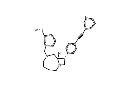 COc1cccc(CN2CCCCN3C[C@@H](c4ccc(C#Cc5cccnc5)cc4)[C@H]3C2)c1